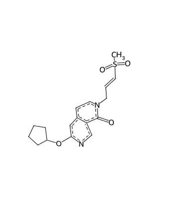 CS(=O)(=O)/C=C/Cn1ccc2cc(OC3CCCC3)ncc2c1=O